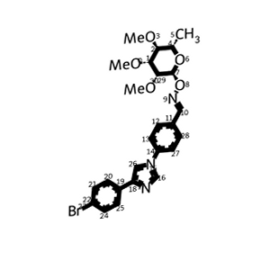 CO[C@@H]1[C@@H](OC)[C@H](C)O[C@@H](O/N=C/c2ccc(-n3cnc(-c4ccc(Br)cc4)c3)cc2)[C@@H]1OC